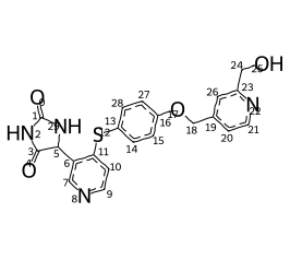 O=C1NC(=O)C(c2cnccc2Sc2ccc(OCc3ccnc(CO)c3)cc2)N1